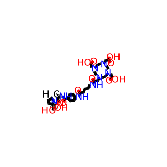 C[C@@H](NC(=O)c1ccc(NC(=O)CCCCNC(=O)CN2CCN(CC(=O)O)CCN(CC(=O)O)CCN(CC(=O)O)CC2)cc1)C(=O)N1CCC[C@H]1B(O)O